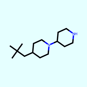 CC(C)(C)CC1CCN(C2CCNCC2)CC1